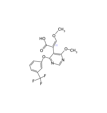 CO/C=C(\C(=O)O)c1c(OC)ncnc1Oc1cccc(C(F)(F)F)c1